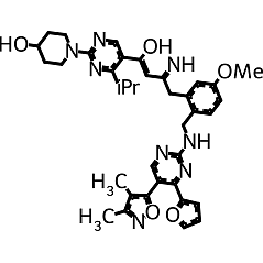 COc1ccc(CNc2ncc(-c3onc(C)c3C)c(-c3ccco3)n2)c(CC(=N)/C=C(\O)c2cnc(N3CCC(O)CC3)nc2C(C)C)c1